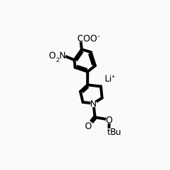 CC(C)(C)OC(=O)N1CC=C(c2ccc(C(=O)[O-])c([N+](=O)[O-])c2)CC1.[Li+]